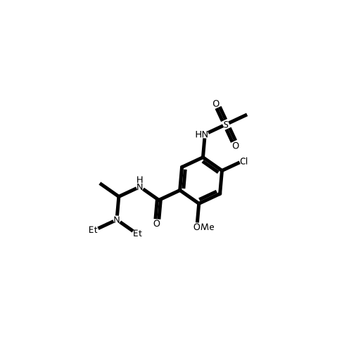 CCN(CC)C(C)NC(=O)c1cc(NS(C)(=O)=O)c(Cl)cc1OC